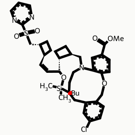 COC(=O)c1ccc2c(c1)N(C[C@@H]1CC[C@H]1C(/C=C\[C@@H]1CC[C@H]1CS(=O)(=O)c1ncccn1)O[Si](C)(C)C(C)(C)C)CCCCc1cc(Cl)ccc1CO2